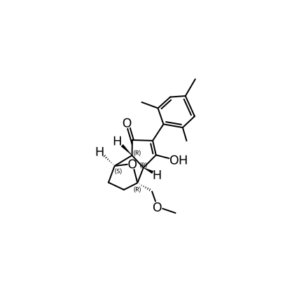 COC[C@]12CC[C@H](O1)[C@@H]1C(=O)C(c3c(C)cc(C)cc3C)=C(O)[C@@H]12